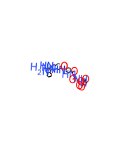 CCCCC1Nc2c(N)nc3ccccc3c2N1CCCCNC(=O)[C@H]1CC[C@H](C(=O)NCC(=O)NCC(=O)ON2C(=O)CCC2=O)CC1